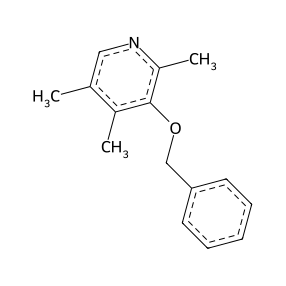 Cc1cnc(C)c(OCc2ccccc2)c1C